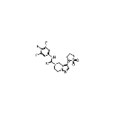 O=C(Nc1cc(F)c(F)c(F)c1)N1CCn2ncc(N3CCCS3(=O)=O)c2C1